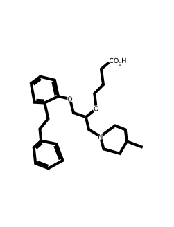 CC1CCN(CC(COc2ccccc2CCc2ccccc2)OCCCC(=O)O)CC1